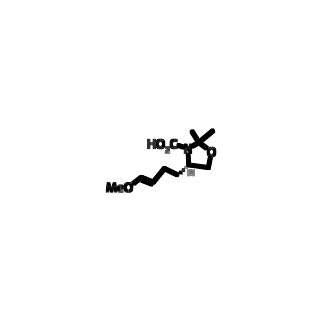 COC=CCC[C@H]1COC(C)(C)N1C(=O)O